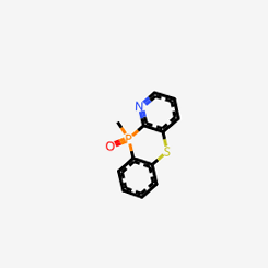 CP1(=O)c2ccccc2Sc2cccnc21